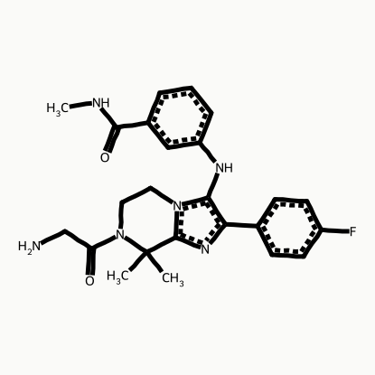 CNC(=O)c1cccc(Nc2c(-c3ccc(F)cc3)nc3n2CCN(C(=O)CN)C3(C)C)c1